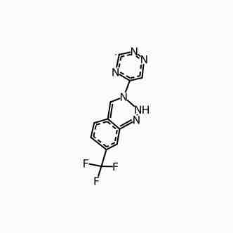 FC(F)(F)c1ccc2c(c1)=NNN(c1cnn[c]n1)C=2